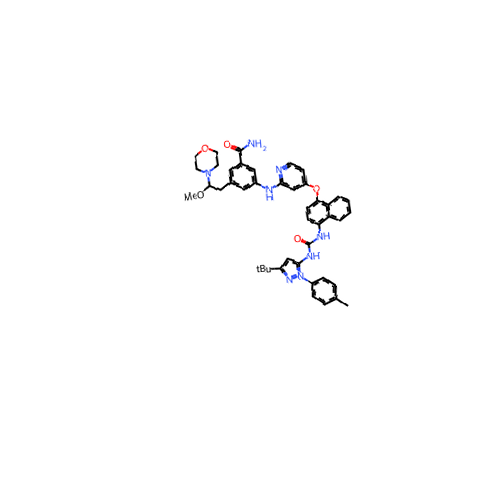 COC(Cc1cc(Nc2cc(Oc3ccc(NC(=O)Nc4cc(C(C)(C)C)nn4-c4ccc(C)cc4)c4ccccc34)ccn2)cc(C(N)=O)c1)N1CCOCC1